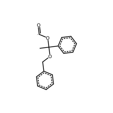 CC(O[C]=O)(OCc1ccccc1)c1ccccc1